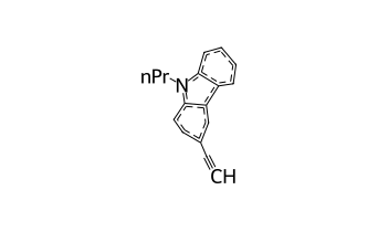 C#Cc1ccc2c(c1)c1ccccc1n2CCC